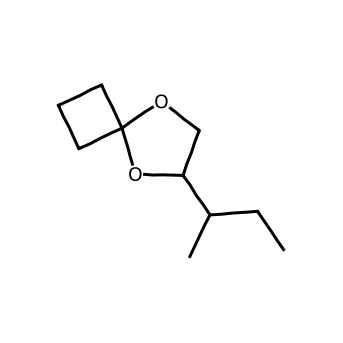 CCC(C)C1COC2(CCC2)O1